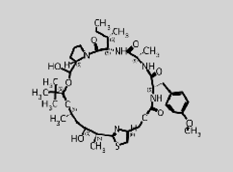 CC[C@H](C)[C@@H]1NC(=O)[C@H](C)NC(=O)[C@H](Cc2ccc(OC)cc2)NC(=O)CC[C@@H]2CSC(=N2)[C@@H](C)[C@@H](O)C[C@H](C)C[C@@H](C(C)(C)C)OC(O)[C@@H]2CCCN2C1=O